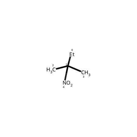 CCC(C)(C)[N+](=O)[O-]